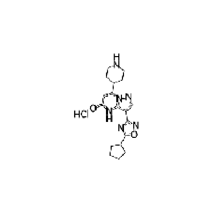 Cl.O=c1cc(C2CCNCC2)n2ncc(-c3noc(C4CCCC4)n3)c2[nH]1